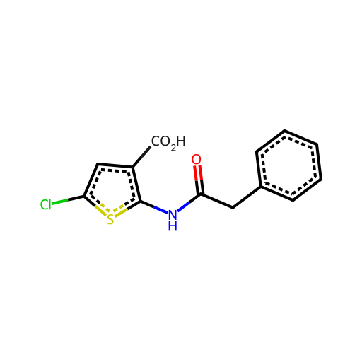 O=C(Cc1ccccc1)Nc1sc(Cl)cc1C(=O)O